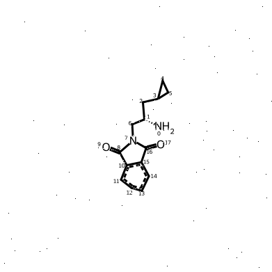 N[C@@H](CC1CC1)CN1C(=O)c2ccccc2C1=O